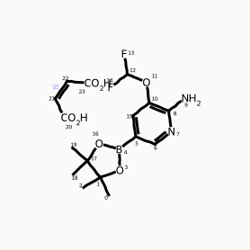 CC1(C)OB(c2cnc(N)c(OC(F)F)c2)OC1(C)C.O=C(O)/C=C\C(=O)O